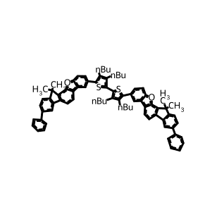 CCCCc1c(-c2ccc3oc4c5c(ccc4c3c2)-c2cc(-c3ccccc3)ccc2C5(C)C)sc(-c2sc(-c3ccc4oc5c6c(ccc5c4c3)-c3cc(-c4ccccc4)ccc3C6(C)C)c(CCCC)c2CCCC)c1CCCC